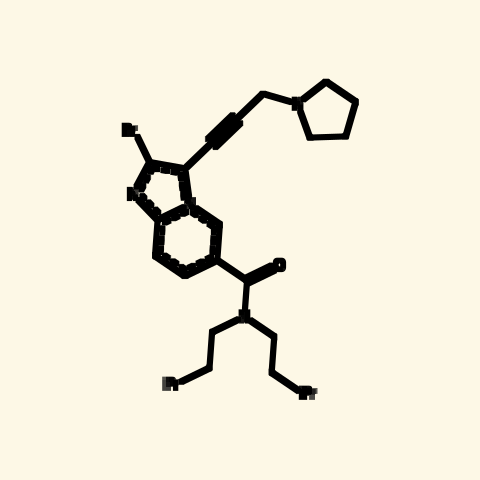 CC(C)CCN(CCC(C)C)C(=O)c1ccc2nc(Br)c(C#CCN3CCCC3)n2c1